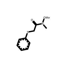 CON(C)C(=O)CSc1ccccc1